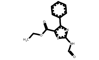 CCOC(=O)c1sc(NC=O)nc1-c1ccccc1